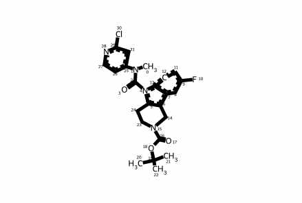 CN(C(=O)n1c2c(c3cc(F)ccc31)CN(C(=O)OC(C)(C)C)CC2)c1ccnc(Cl)c1